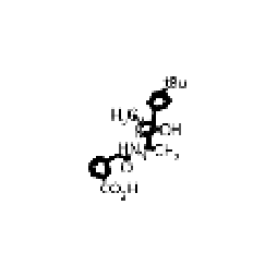 CC(=NNC(=O)Cc1cccc(C(=O)O)c1)c1nn(C)c(-c2ccc(C(C)(C)C)cc2)c1O